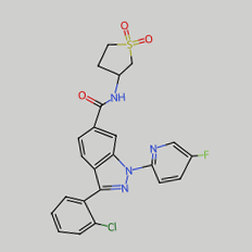 O=C(NC1CCS(=O)(=O)C1)c1ccc2c(-c3ccccc3Cl)nn(-c3ccc(F)cn3)c2c1